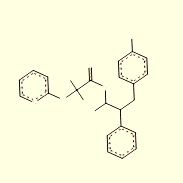 C=C(NC(C)C(Cc1ccc(Cl)cc1)c1ccccc1)C(C)(C)Oc1ccccn1